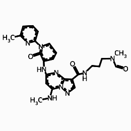 CNc1cc(Nc2cccn(-c3cccc(C)n3)c2=O)nc2c(C(=O)NCCCN(C)C=O)cnn12